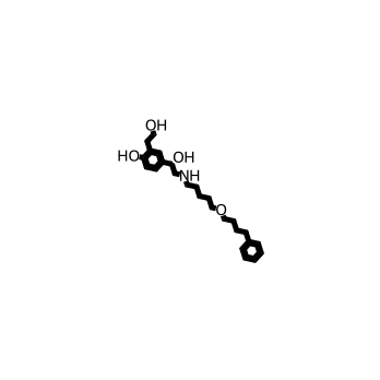 OCCc1cc(C(O)CNCCCCCOCCCCc2ccccc2)ccc1O